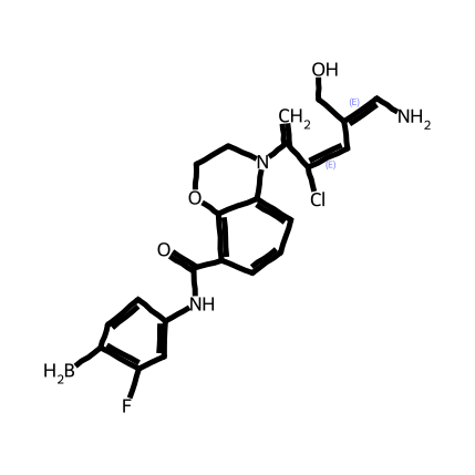 Bc1ccc(NC(=O)c2cccc3c2OCCN3C(=C)/C(Cl)=C\C(=C/N)CO)cc1F